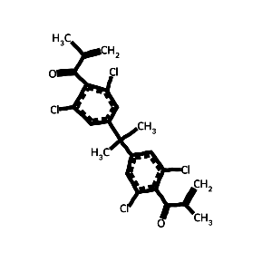 C=C(C)C(=O)c1c(Cl)cc(C(C)(C)c2cc(Cl)c(C(=O)C(=C)C)c(Cl)c2)cc1Cl